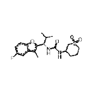 Cc1c([C@@H](NC(=O)NC2CCCS(=O)(=O)C2)C(C)C)oc2ccc(F)cc12